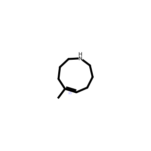 C/C1=C/CCCNCCC1